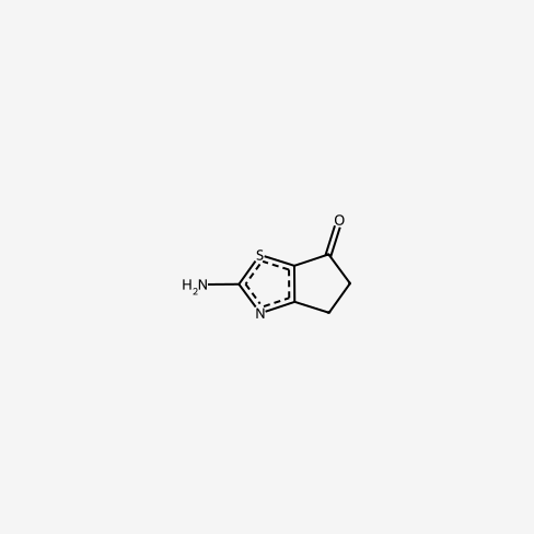 Nc1nc2c(s1)C(=O)CC2